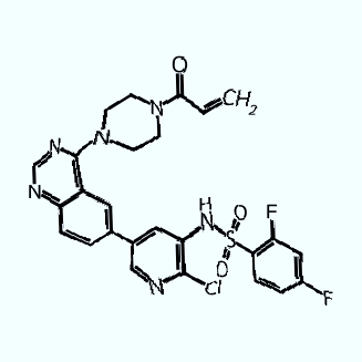 C=CC(=O)N1CCN(c2ncnc3ccc(-c4cnc(Cl)c(NS(=O)(=O)c5ccc(F)cc5F)c4)cc23)CC1